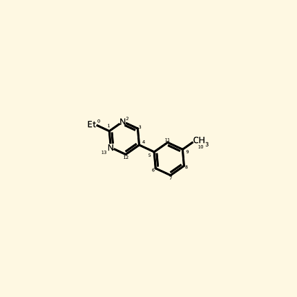 CCc1ncc(-c2cccc(C)c2)cn1